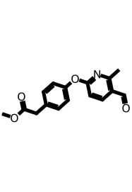 COC(=O)Cc1ccc(Oc2ccc(C=O)c(C)n2)cc1